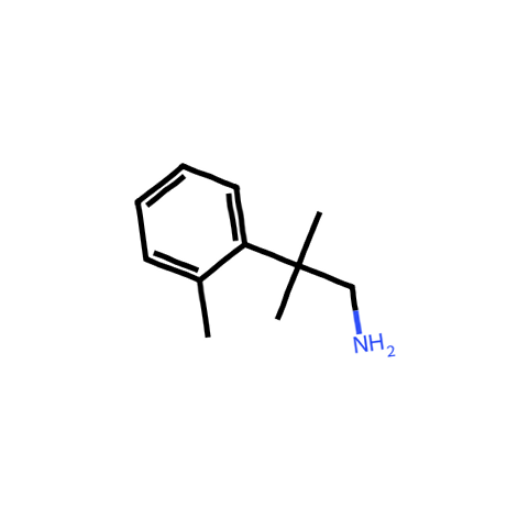 Cc1ccccc1C(C)(C)CN